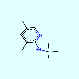 Cc1cnc(NC(C)(C)C)c(C)c1